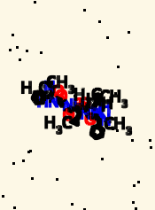 CN[C@H](C(=O)N1C[C@H]2[C@@H]([C@H]1C(=O)N[C@H](C(=O)C(=O)NCC(=O)NC(C(=O)N(C)C)c1ccccc1)[C@H]1C[C@@H]1C)C2(C)C)C1CCCCC1